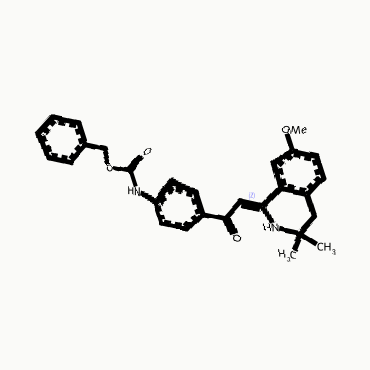 COc1ccc2c(c1)/C(=C/C(=O)c1ccc(NC(=O)OCc3ccccc3)cc1)NC(C)(C)C2